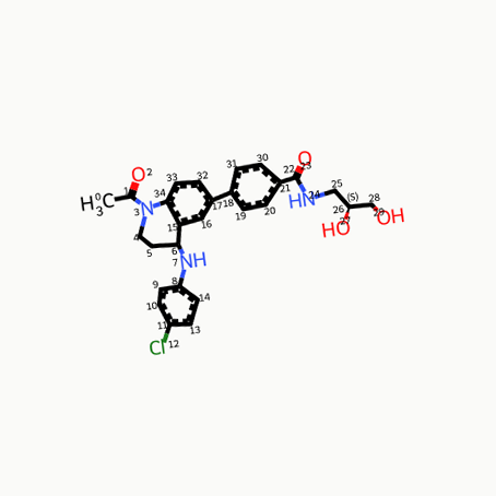 CC(=O)N1CCC(Nc2ccc(Cl)cc2)c2cc(-c3ccc(C(=O)NC[C@H](O)CO)cc3)ccc21